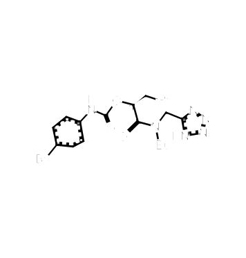 CCN(Cc1nnn[nH]1)C(=O)[C@H](CC(C)C)OC(=O)Nc1ccc(Br)cc1